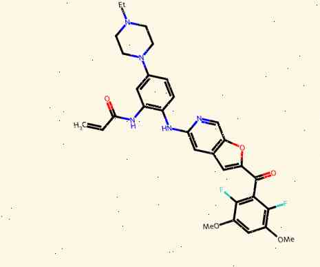 C=CC(=O)Nc1cc(N2CCN(CC)CC2)ccc1Nc1cc2cc(C(=O)c3c(F)c(OC)cc(OC)c3F)oc2cn1